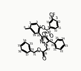 Cc1ccc(OS(=O)(=O)c2cccc(C(F)(F)F)c2)c(-c2cc(-c3ccccc3)n(CC(=O)OCc3ccccc3)n2)c1